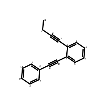 CCC#Cc1ccccc1C#Cc1ccccc1